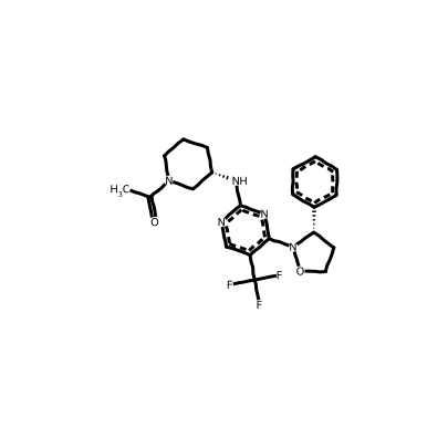 CC(=O)N1CCC[C@H](Nc2ncc(C(F)(F)F)c(N3OCC[C@H]3c3ccccc3)n2)C1